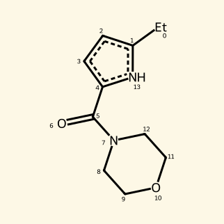 [CH2]Cc1ccc(C(=O)N2CCOCC2)[nH]1